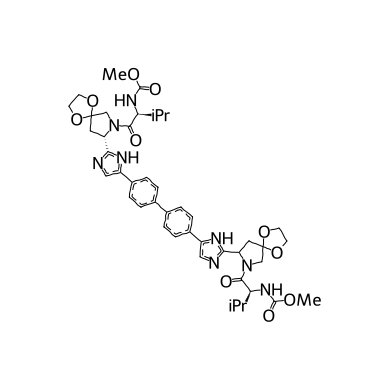 COC(=O)N[C@H](C(=O)N1CC2(CC1c1ncc(-c3ccc(-c4ccc(-c5cnc([C@@H]6CC7(CN6C(=O)[C@@H](NC(=O)OC)C(C)C)OCCO7)[nH]5)cc4)cc3)[nH]1)OCCO2)C(C)C